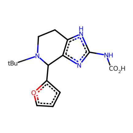 CC(C)(C)N1CCc2[nH]c(NC(=O)O)nc2C1c1ccco1